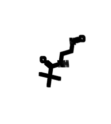 CC(C)(C)C(=O)NCCN=O